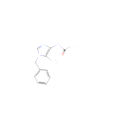 CCCCCCC(=O)Nc1ncn(Cc2ccccc2)c1C#N